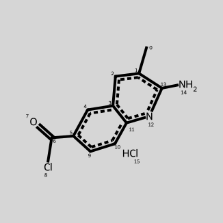 Cc1cc2cc(C(=O)Cl)ccc2nc1N.Cl